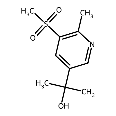 Cc1ncc(C(C)(C)O)cc1S(C)(=O)=O